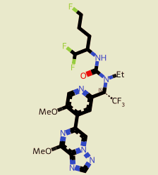 CCN(C(=O)NC(CCCF)C(F)F)[C@@H](c1cc(-c2cn3ncnc3c(OC)n2)c(OC)cn1)C(F)(F)F